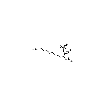 CCCCCCCCCCCCCCCCOCC(CN(C)C(C)=O)C(CBr)OP(=O)(O)O